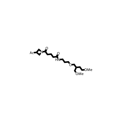 COCCC(COC)COCCCNC(=O)CCCC(=O)N1CC(C(C)=O)C1